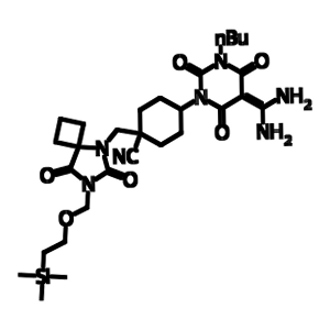 CCCCN1C(=O)C(=C(N)N)C(=O)N(C2CCC(C#N)(CN3C(=O)N(COCC[Si](C)(C)C)C(=O)C34CCC4)CC2)C1=O